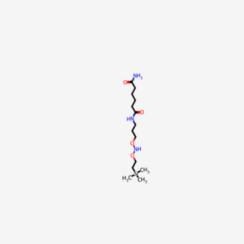 C[Si](C)(C)CCONOCCCNC(=O)CCCCC(N)=O